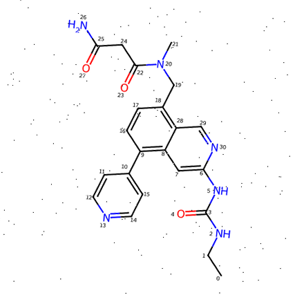 CCNC(=O)Nc1cc2c(-c3ccncc3)ccc(CN(C)C(=O)CC(N)=O)c2cn1